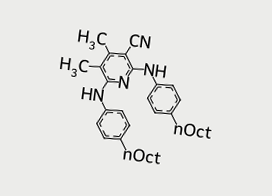 CCCCCCCCc1ccc(Nc2nc(Nc3ccc(CCCCCCCC)cc3)c(C#N)c(C)c2C)cc1